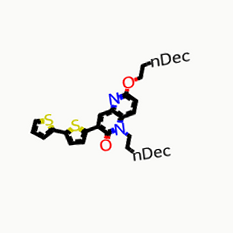 CCCCCCCCCCCCOc1ccc2c(cc(-c3ccc(-c4cccs4)s3)c(=O)n2CCCCCCCCCCCC)n1